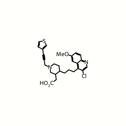 COc1ccc2ncc(Cl)c(CCCC3CCN(CC#Cc4ccsc4)CC3CC(=O)O)c2c1